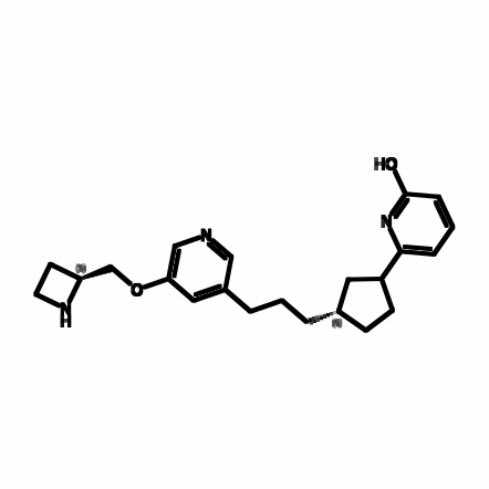 Oc1cccc(C2CC[C@H](CCCc3cncc(OC[C@@H]4CCN4)c3)C2)n1